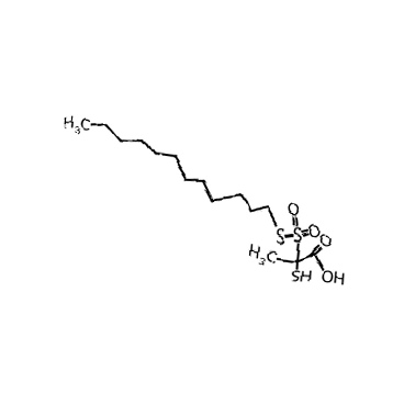 CCCCCCCCCCCCSS(=O)(=O)C(C)(S)C(=O)O